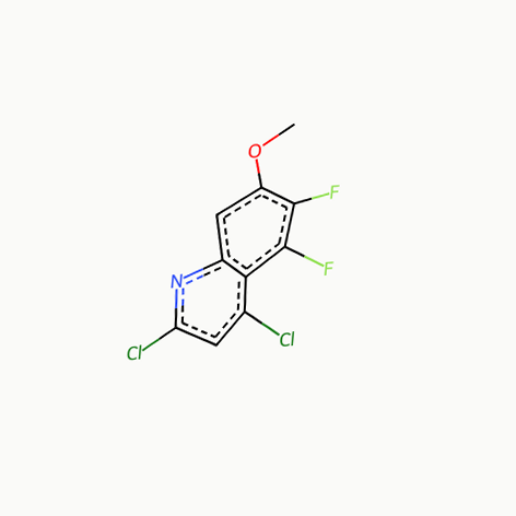 COc1cc2nc(Cl)cc(Cl)c2c(F)c1F